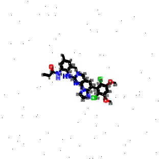 C=CC(=O)Nc1cc(C)cc(C)c1Nc1ncc2cc(-c3c(Cl)c(OC)cc(OC)c3Cl)c3nccn3c2n1